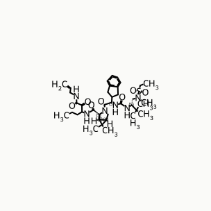 C=CCNC(=O)C(=O)C(CCC)NC(=O)[C@@H]1[C@@H]2[C@H](CN1C(=O)[C@@H](NC(=O)N[C@H](CN(C)S(=O)(=O)CC)C(C)(C)C)C1Cc3ccccc3C1)C2(C)C